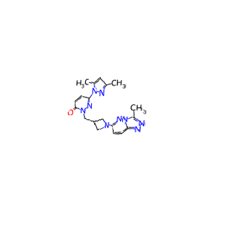 Cc1cc(C)n(-c2ccc(=O)n(CC3CN(c4ccc5nnc(C)n5n4)C3)n2)n1